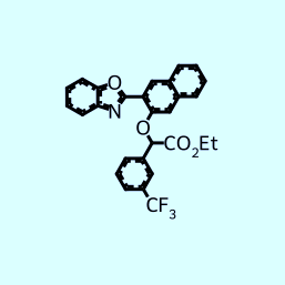 CCOC(=O)C(Oc1cc2ccccc2cc1-c1nc2ccccc2o1)c1cccc(C(F)(F)F)c1